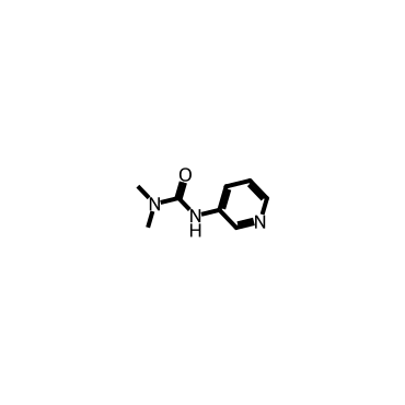 CN(C)C(=O)Nc1cccnc1